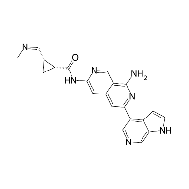 C/N=C\[C@H]1C[C@H]1C(=O)Nc1cc2cc(-c3cncc4[nH]ccc34)nc(N)c2cn1